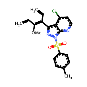 C=C/C(OC)=C(\C=C)c1nn(S(=O)(=O)c2ccc(C)cc2)c2nccc(Cl)c12